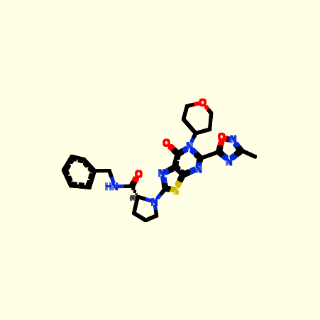 Cc1noc(-c2nc3sc(N4CCC[C@@H]4C(=O)NCc4ccccc4)nc3c(=O)n2C2CCOCC2)n1